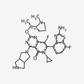 C[C@H](Oc1nc(N2CC3CNCC3C2)c2c(=O)n(C3CC3)c(-c3ccc(F)c4sc(N)nc34)c(F)c2n1)[C@@H]1CCCN1C